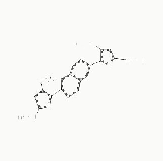 CCCCCCCCc1cc(C=O)c(-c2ccc3cc(-c4sc(CCCCCCCC)cc4OC)ccc3c2)s1